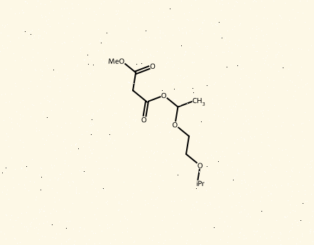 COC(=O)CC(=O)OC(C)OCCOC(C)C